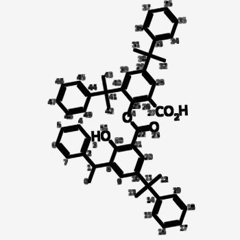 CC(c1ccccc1)c1cc(C(C)(C)c2ccccc2)cc(C(=O)Oc2c(C(=O)O)cc(C(C)(C)c3ccccc3)cc2C(C)(C)c2ccccc2)c1O